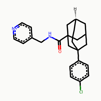 O=C(NCc1ccncc1)C12CC3C[C@H](C1)CC(c1ccc(Cl)cc1)(C3)C2